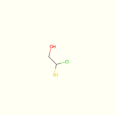 OCC(S)Cl